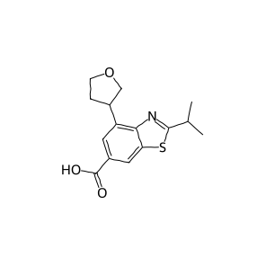 CC(C)c1nc2c(C3CCOC3)cc(C(=O)O)cc2s1